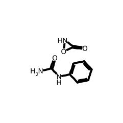 NC(=O)Nc1ccccc1.O=C1NO1